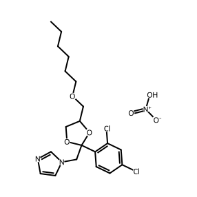 CCCCCCOCC1COC(Cn2ccnc2)(c2ccc(Cl)cc2Cl)O1.O=[N+]([O-])O